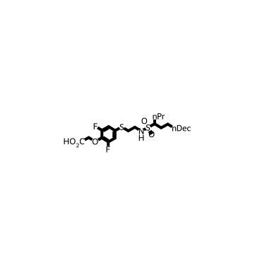 CCCCCCCCCCCCC(CCC)S(=O)(=O)NCCSc1cc(F)c(OCC(=O)O)c(F)c1